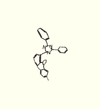 Cc1ccc2c(c1)oc1c(-c3nc(C4=CC=CCC4)nc(-c4ccccc4)n3)cccc12